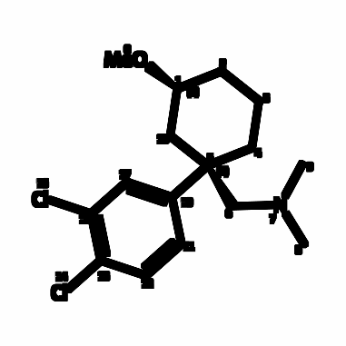 CO[C@H]1CCC[C@](CN(C)C)(c2ccc(Cl)c(Cl)c2)C1